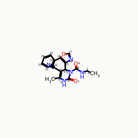 CCNC(=O)N1C(=O)NC(C)=C(C#N)C1c1ncoc1-c1ccccc1